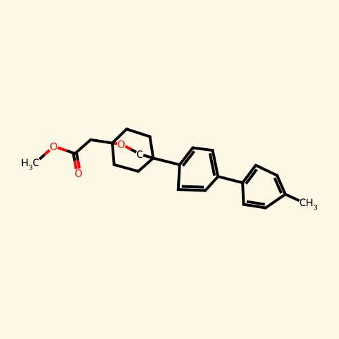 COC(=O)CC12CCC(c3ccc(-c4ccc(C)cc4)cc3)(CC1)CO2